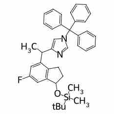 CC(c1cn(C(c2ccccc2)(c2ccccc2)c2ccccc2)cn1)c1cc(F)cc2c1CCC2O[Si](C)(C)C(C)(C)C